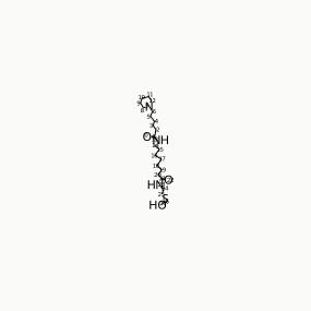 O=C(CCCCCN1CCCCC1)NCCCCCCCC(=O)NCCSO